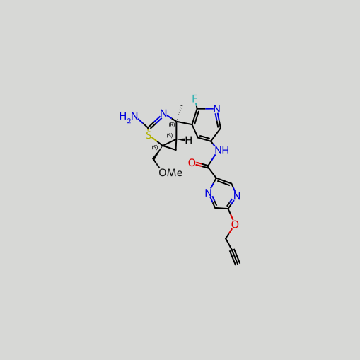 C#CCOc1cnc(C(=O)Nc2cnc(F)c([C@]3(C)N=C(N)S[C@@]4(COC)C[C@H]43)c2)cn1